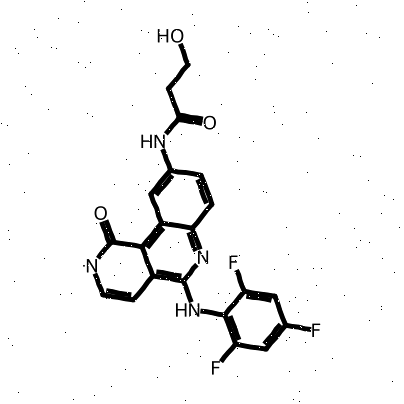 O=C(CCO)Nc1ccc2nc(Nc3c(F)cc(F)cc3F)c3c(c2c1)C(=O)[N]C=C3